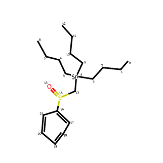 CCC[CH2][Sn]([CH2]CCC)([CH2]CCC)[CH2]S(=O)c1ccccc1